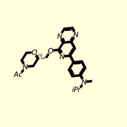 CC(=O)N1CCO[C@H](COc2nc(-c3ccc(N(C)C(C)C)cc3)cc3nccnc23)C1